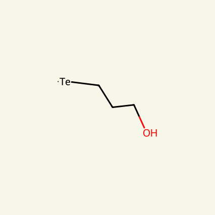 OCCC[Te]